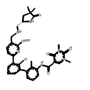 COc1nc(-c2cccc(-c3cccc(NC(=O)c4cn(C)c(=O)n(C)c4=O)c3C)c2Cl)ccc1CNC[C@@H]1CC(C)(C)C(=O)N1